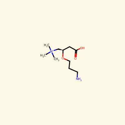 C[N+](C)(C)C[C@@H](CC(=O)O)OCCCN